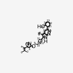 CC(C)[C@@H](C)c1cc(OCCN2CC(c3[nH]c4nnc(-c5ccccc5O)cc4c3F)C2)no1